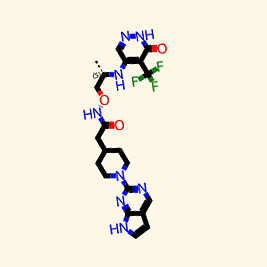 C[C@@H](CONC(=O)CC1CCN(c2ncc3cc[nH]c3n2)CC1)Nc1cn[nH]c(=O)c1C(F)(F)F